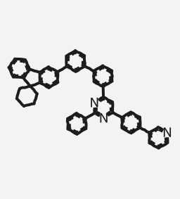 c1ccc(-c2nc(-c3ccc(-c4cccnc4)cc3)cc(-c3cccc(-c4cccc(-c5ccc6c(c5)-c5ccccc5C65CCCCC5)c4)c3)n2)cc1